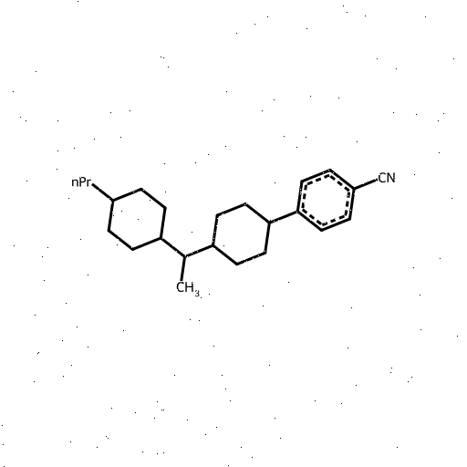 CCCC1CCC(C(C)C2CCC(c3ccc(C#N)cc3)CC2)CC1